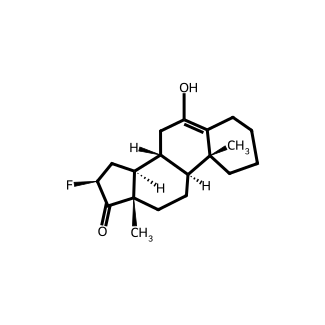 C[C@]12CCCCC1=C(O)C[C@@H]1[C@@H]2CC[C@]2(C)C(=O)[C@@H](F)C[C@@H]12